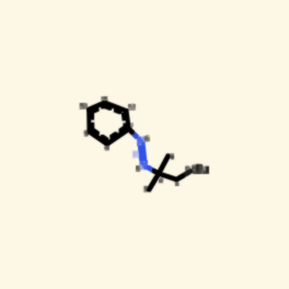 CC(C)(C)CC(C)(C)/N=N/c1ccccc1